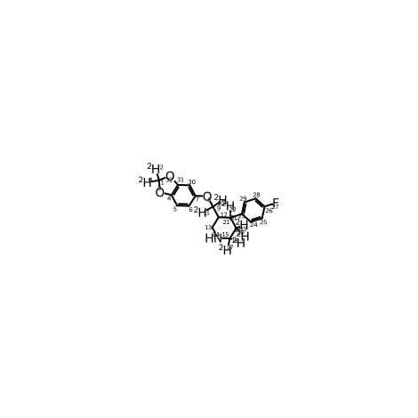 [2H]C1([2H])Oc2ccc(OC([2H])([2H])C3CNC([2H])([2H])C([2H])([2H])[C@@]3([2H])c3ccc(F)cc3)cc2O1